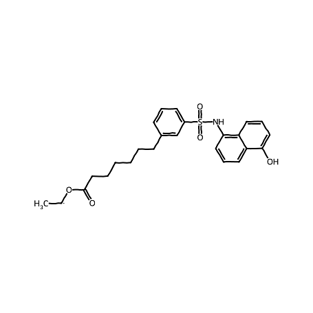 C[CH]OC(=O)CCCCCCc1cccc(S(=O)(=O)Nc2cccc3c(O)cccc23)c1